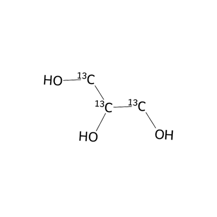 O[13CH2][13CH](O)[13CH2]O